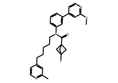 COc1cc(-c2cccc(N(CCCCCc3ccnc(C)c3)C(=O)C34CC(F)(C3)C4)c2)ccn1